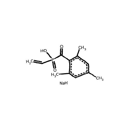 C=CP(=O)(O)C(=O)c1c(C)cc(C)cc1C.[NaH]